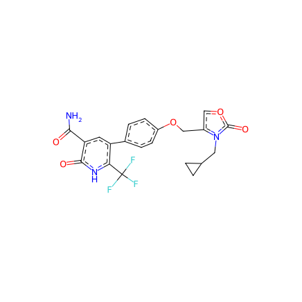 NC(=O)c1cc(-c2ccc(OCc3coc(=O)n3CC3CC3)cc2)c(C(F)(F)F)[nH]c1=O